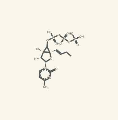 CC/C=C/[C@]12O[C@@H](n3ccc(N)nc3=O)[C@H](F)[C@@]1(O)C2OP(=O)(O)OP(=O)(O)OP(=O)(O)O